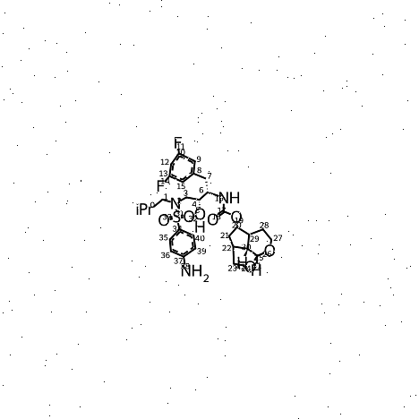 CC(C)CN(C[C@@H](O)[C@H](Cc1cc(F)cc(F)c1)NC(=O)O[C@H]1CC2CO[C@H]3OCCC1[C@@H]23)S(=O)(=O)c1ccc(N)cc1